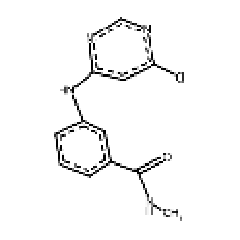 CNC(=O)c1cccc(Nc2cc(Cl)ncn2)c1